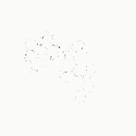 c1cc(-n2c3ccccc3c3ccc4ccccc4c32)c2cc3c4ccccc4n(-c4nc(-c5cccc6sc7ccccc7c56)c5ccccc5n4)c3cc2c1